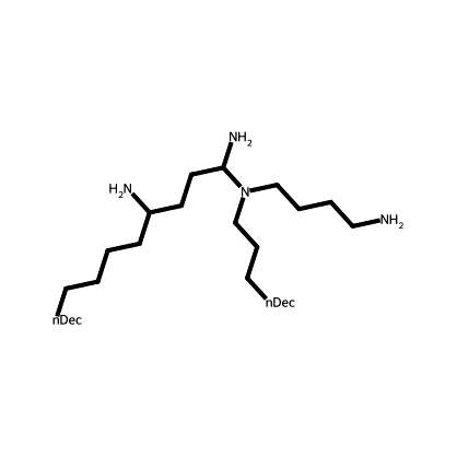 CCCCCCCCCCCCCCC(N)CCC(N)N(CCCCN)CCCCCCCCCCCCC